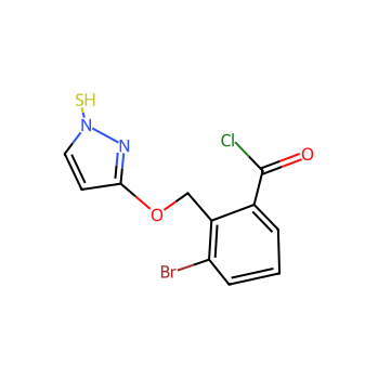 O=C(Cl)c1cccc(Br)c1COc1ccn(S)n1